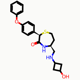 O=C1N[C@H](CNC2CC(O)C2)CCS[C@@H]1c1ccc(Oc2ccccc2)cc1